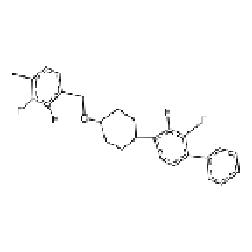 Cc1ccc(COC2CCC(c3ccc(-c4ccccc4)c(F)c3F)CC2)c(F)c1F